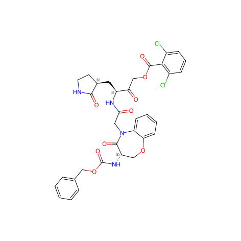 O=C(CN1C(=O)[C@@H](NC(=O)OCc2ccccc2)COc2ccccc21)N[C@@H](C[C@@H]1CCNC1=O)C(=O)COC(=O)c1c(Cl)cccc1Cl